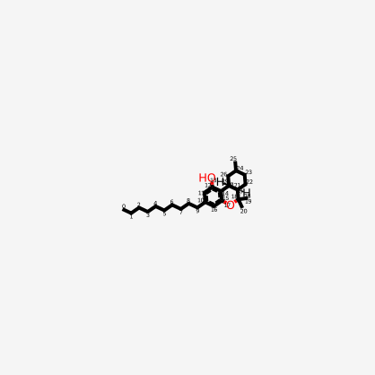 CCCCCCCCCCc1cc(O)c2c(c1)OC(C)(C)[C@@H]1CCC(C)C[C@@H]21